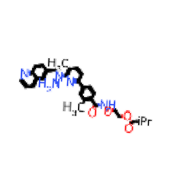 Cc1cc(-c2ccc(C)c(N(N)Cc3ccc4ncccc4c3)n2)ccc1C(=O)NOCCOC(=O)C(C)C